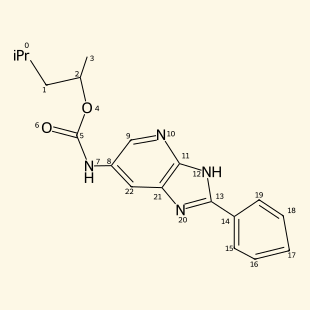 CC(C)CC(C)OC(=O)Nc1cnc2[nH]c(-c3ccccc3)nc2c1